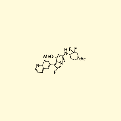 COc1nc(NC2CCN(C(C)=O)CC2(F)F)nn2cc(F)c(-c3ccc4ncccc4c3)c12